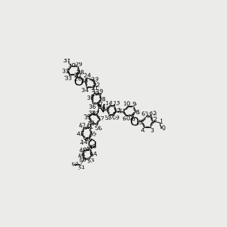 C=Cc1ccc(Oc2cccc(-c3ccc(N(c4ccc(-c5cccc(Oc6ccc(C)cc6)c5)cc4)c4ccc(-c5cccc(Oc6ccc(C=C)cc6)c5)cc4)cc3)c2)cc1